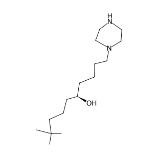 CC(C)(C)CCC[C@H](O)CCCCN1CCNCC1